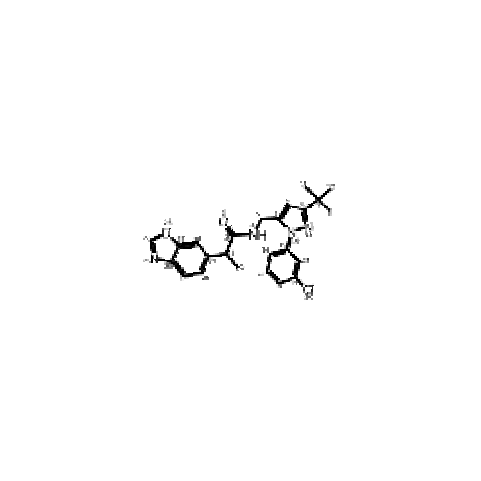 CC(C(=O)NCc1cc(C(C)(C)C)nn1-c1cccc(Cl)c1)c1ccc2ncoc2c1